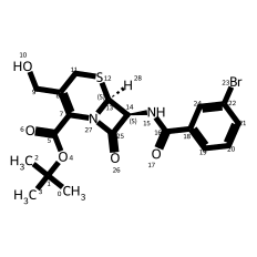 CC(C)(C)OC(=O)C1=C(CO)CS[C@H]2[C@@H](NC(=O)c3cccc(Br)c3)C(=O)N12